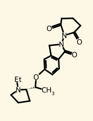 CCN1CCC[C@H]1C(C)Oc1ccc2c(c1)CN(N1C(=O)CCCC1=O)C2=O